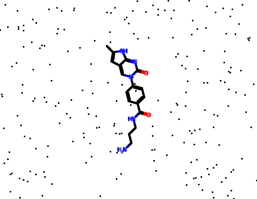 Cc1cc2cn(-c3ccc(C(=O)NCCCN)cc3)c(=O)nc2[nH]1